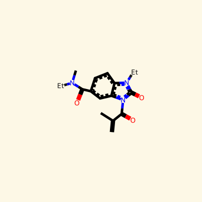 C=C(C)C(=O)n1c(=O)n(CC)c2ccc(C(=O)N(C)CC)cc21